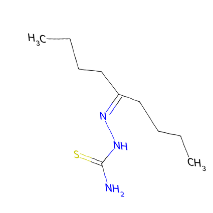 CCCCC(CCCC)=NNC(N)=S